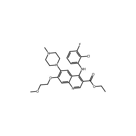 CCOC(=O)c1cnc2cc(OCCOC)c(N3CCN(C)CC3)cc2c1Nc1cccc(F)c1Cl